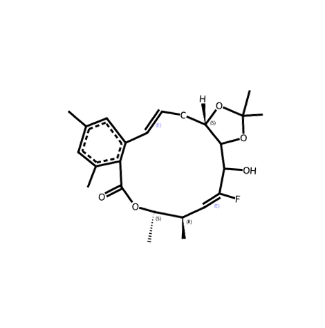 Cc1cc(C)c2c(c1)/C=C/C[C@@H]1OC(C)(C)OC1C(O)/C(F)=C\[C@@H](C)[C@H](C)OC2=O